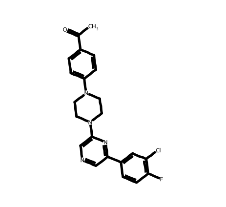 CC(=O)c1ccc(N2CCN(c3cncc(-c4ccc(F)c(Cl)c4)n3)CC2)cc1